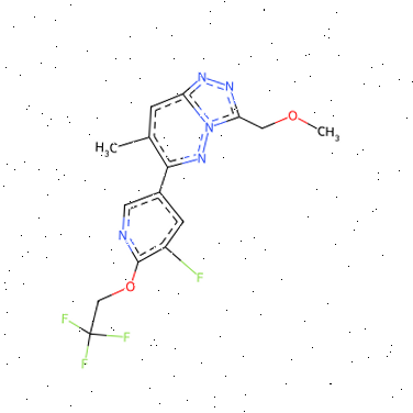 COCc1nnc2cc(C)c(-c3cnc(OCC(F)(F)F)c(F)c3)nn12